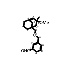 COC1(C)C=C2CCCC(COCC3=CC(C=O)CC=C3)(C2)C1